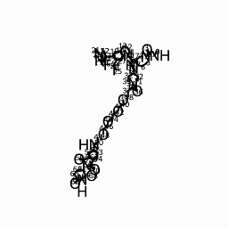 CNC(=O)N1CCc2c(c(N3CCCc4cc(-c5cnn(C)c5)c(C(F)F)cc43)nn2C2CCN(C(=O)CCOCCOCCOCCOCCNc3ccc4c(c3)C(=O)N(C3CCC(=O)NC3=O)C4=O)CC2)C1